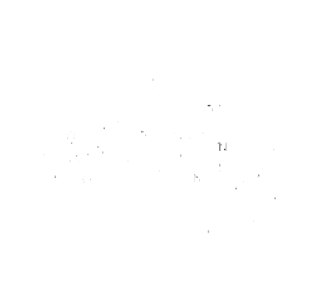 CCCC(c1c(C)nc(-c2c(CC)cccc2CC)nc1OC)N1CCN(S(=O)(=O)C(C)C)CC1